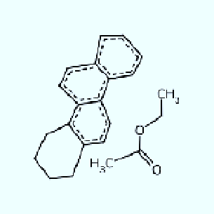 CCOC(C)=O.c1ccc2c(c1)ccc1c3c(ccc12)CCCC3